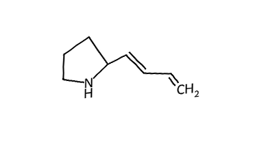 C=CC=CC1CCCN1